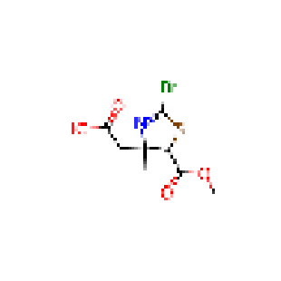 COC(=O)C1SC(Br)=NC1(C)CC(=O)O